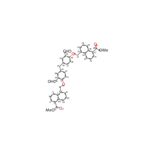 COC(=O)c1cccc2c(COc3ccc(Cc4ccc(OCc5cccc6c(C(=O)OC)cccc56)c(C=O)c4)cc3C=O)cccc12